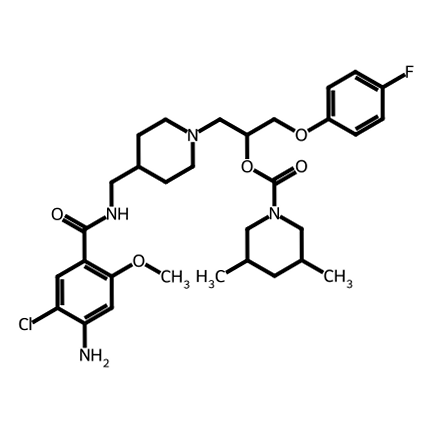 COc1cc(N)c(Cl)cc1C(=O)NCC1CCN(CC(COc2ccc(F)cc2)OC(=O)N2CC(C)CC(C)C2)CC1